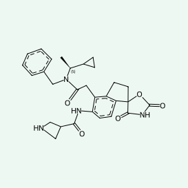 C[C@@H](C1CC1)N(Cc1ccccc1)C(=O)Cc1c(NC(=O)C2CNC2)ccc2c1CCC21OC(=O)NC1=O